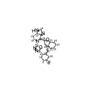 Fc1ccc(-c2nnc(N3CCc4[nH]cnc4[C@H]3c3cc4ccccc4o3)o2)c(F)c1